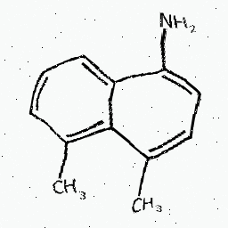 Cc1cccc2c(N)ccc(C)c12